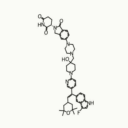 CC1(C)CC(C=C(c2ccc(N3CCC(O)(CN4CCN(c5ccc6c(c5)CN([C@H]5CCC(=O)NC5=O)C6=O)CC4)CC3)nc2)c2ccc3[nH]cc(F)c3c2)CC(C)(C)O1